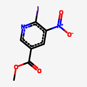 COC(=O)c1cnc(I)c([N+](=O)[O-])c1